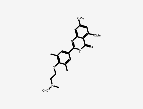 COc1cc(OC)c2c(=O)[nH]c(-c3cc(C)c(OCCN(C)C=O)c(C)c3)nc2c1